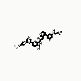 CN(C)CCNc1cc(F)cc(-c2ccnc3[nH]c(-c4n[nH]c5ccc(-c6cncc(N7CC(N)C7)n6)nc45)cc23)c1